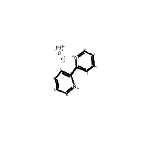 [Cl-].[Cl-].[Pd+2].c1ccc(-c2ccccn2)nc1